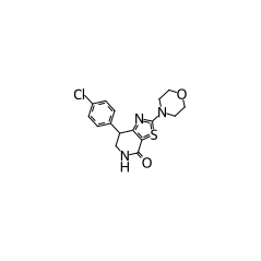 O=C1NCC(c2ccc(Cl)cc2)c2nc(N3CCOCC3)sc21